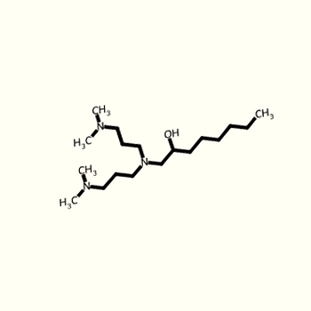 CCCCCCC(O)CN(CCCN(C)C)CCCN(C)C